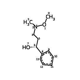 CON(C)CC[C@@H](O)c1ccccc1